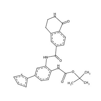 CC(C)(C)OC(=O)Nc1ccc(-c2cccs2)cc1NC(=O)c1ccc2c(c1)CCNC2=O